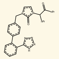 CCCC(=O)C(CCC)n1ccn(Cc2ccc(-c3ccccc3-c3nnn[nH]3)cc2)c1=O